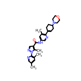 Cc1cnc(-n2ncc(C(=O)Nc3cnc(C4=CCC(N5CCOCC5)CC4)c(C)c3)c2C)c(C)c1